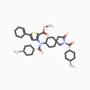 COC(=O)c1sc(C2=CCCCC2)cc1N(C(=O)[C@H]1CC[C@H](C)CC1)C1CCC2(CC1)CC(=O)N(C(=O)[C@H]1CC[C@H](C)CC1)C2